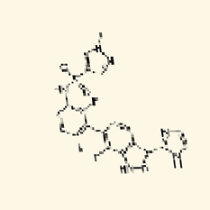 Cn1cc(S(=O)(=O)Nc2ccc(F)c(-c3ccc4c(-c5ncc[nH]5)n[nH]c4c3F)c2F)cn1